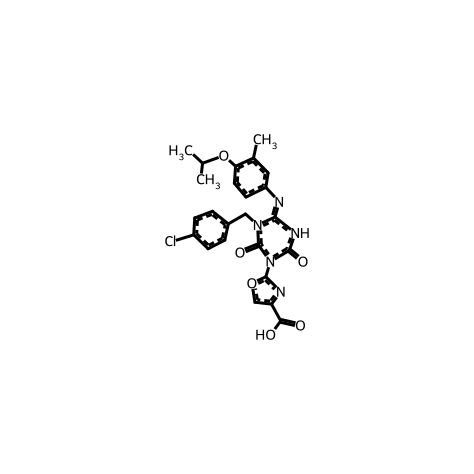 Cc1cc(/N=c2/[nH]c(=O)n(-c3nc(C(=O)O)co3)c(=O)n2Cc2ccc(Cl)cc2)ccc1OC(C)C